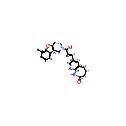 Cc1oc2c(C)cccc2c1CN(C)C(=O)/C=C/c1cnc2c(c1)CCCC(=O)N2